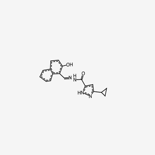 O=C(N/N=C/c1c(O)ccc2ccccc12)c1cc(C2CC2)n[nH]1